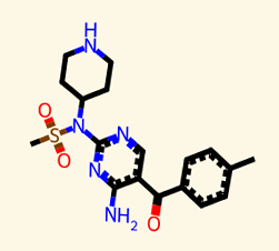 Cc1ccc(C(=O)c2cnc(N(C3CCNCC3)S(C)(=O)=O)nc2N)cc1